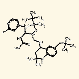 CC(C)(C)Cc1ccc2c(c1)C(NC[C@@H](O[Si](C)(C)C(C)(C)C)C(Cc1cccc(F)c1)NC(=O)O)CC(C)(C)N2